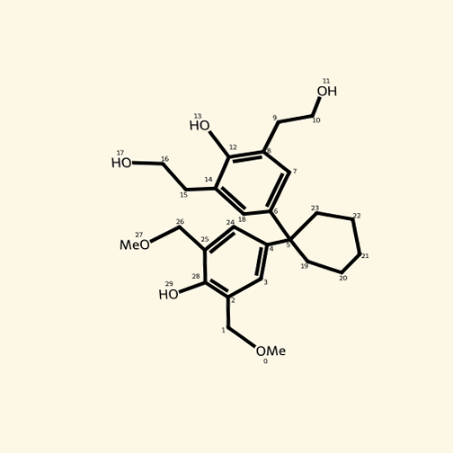 COCc1cc(C2(c3cc(CCO)c(O)c(CCO)c3)CCCCC2)cc(COC)c1O